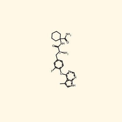 Cc1c[nH]c2ncnc(Oc3ccc(C[C@H](N)C(=O)NC4(C(N)=O)CCCCC4)cc3F)c12